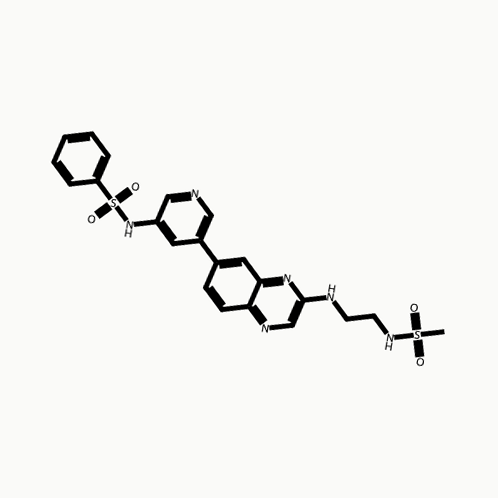 CS(=O)(=O)NCCNc1cnc2ccc(-c3cncc(NS(=O)(=O)c4ccccc4)c3)cc2n1